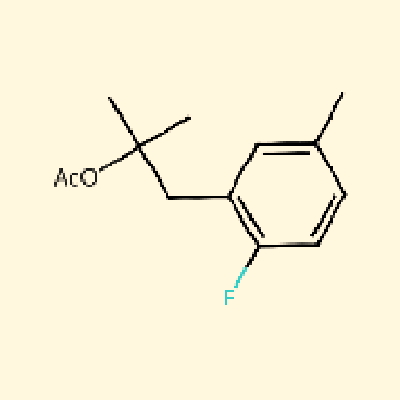 CC(=O)OC(C)(C)Cc1cc(C)ccc1F